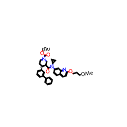 COCCCOc1ccc2ccc(N(C(=O)C3CN(C(=O)OC(C)(C)C)CC[C@@H]3c3cccc(-c4ccccc4)c3)C3CC3)cc2n1